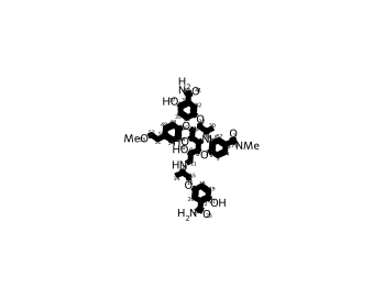 CNC(=O)c1ccc(OC(C(O)CNC(C)COc2ccc(O)c(C(N)=O)c2)C(NC(C)COc2ccc(O)c(C(N)=O)c2)C(O)COc2ccc(CCOC)cc2)cc1